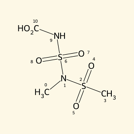 CN(S(C)(=O)=O)S(=O)(=O)NC(=O)O